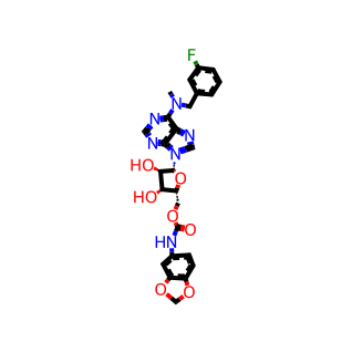 CN(Cc1cccc(F)c1)c1ncnc2c1ncn2[C@@H]1O[C@H](COC(=O)Nc2ccc3c(c2)OCO3)[C@@H](O)[C@H]1O